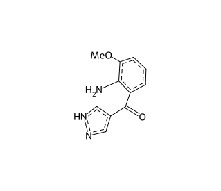 COc1cccc(C(=O)c2cn[nH]c2)c1N